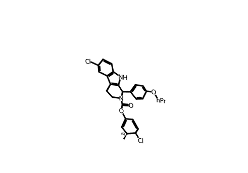 CCCOc1ccc(C2c3[nH]c4ccc(Cl)cc4c3CCN2C(=O)OC2=C[C@H](C)C(Cl)C=C2)cc1